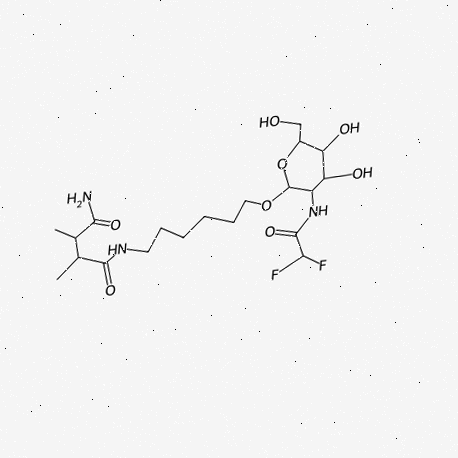 CC(C(N)=O)C(C)C(=O)NCCCCCCOC1OC(CO)C(O)C(O)C1NC(=O)C(F)F